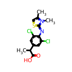 Cc1cs/c(=N\c2c(Cl)cc(C(C)C(=O)O)cc2Cl)n1C